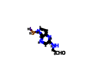 O=CCNc1cnc2c(ccn2SI)n1